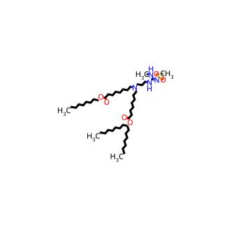 CCCCCCCCCOC(=O)CCCCCCCN(CCCCCCCC(=O)OC(CCCCCCCC)CCCCCCCC)CCCN/C(=N/S(C)(=O)=O)NC